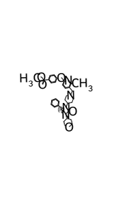 COC(=O)c1ccc(Oc2ccc(CN3CCC(N4C(=O)N(C5CCOCC5)C[C@H]4c4ccccc4)CC3)c(C)n2)cc1